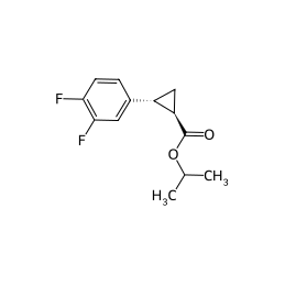 CC(C)OC(=O)[C@@H]1C[C@H]1c1ccc(F)c(F)c1